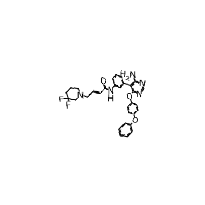 Nc1ncnc(Oc2ccc(Oc3ccccc3)cc2)c1-c1cccc(NC(=O)/C=C/CN2CCCC(F)(F)C2)c1